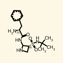 CC(C)(C)NS(=O)(=O)[C@@H]1CNC1NC(=O)[C@@H](N)Cc1ccccc1